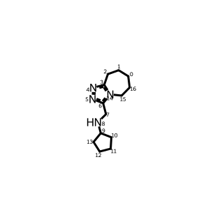 C1CCc2nnc(CNC3CCCC3)n2CC1